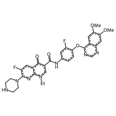 CCn1cc(C(=O)Nc2ccc(Oc3ncnc4cc(OC)c(OC)cc34)c(F)c2)c(=O)c2cc(F)c(N3CCNCC3)nc21